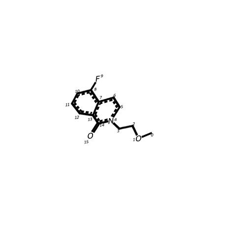 COCCn1ccc2c(F)cccc2c1=O